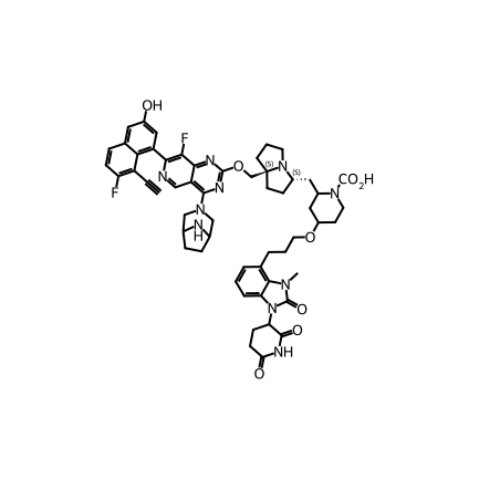 C#Cc1c(F)ccc2cc(O)cc(-c3ncc4c(N5CC6CCC(C5)N6)nc(OC[C@@]56CCCN5[C@H](CC5CC(OCCCc7cccc8c7n(C)c(=O)n8C7CCC(=O)NC7=O)CCN5C(=O)O)CC6)nc4c3F)c12